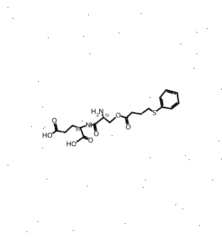 N[C@@H](COC(=O)CCCSc1ccccc1)C(=O)N[C@H](CCC(=O)O)C(=O)O